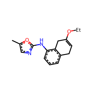 CCOC1=CCc2cccc(Nc3ncc(C)o3)c2C1